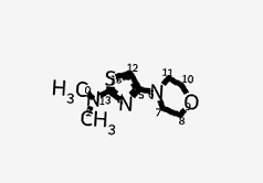 CN(C)c1nc(N2CCOCC2)cs1